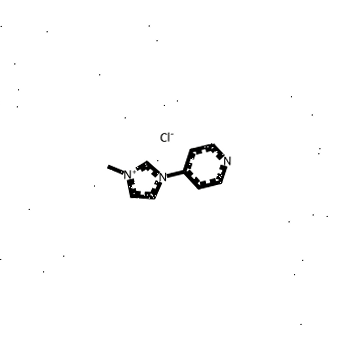 C[n+]1ccn(-c2ccncc2)c1.[Cl-]